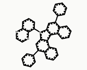 c1ccc(-c2cc3c(c4ccccc24)c2c4ccccc4c(-c4ccccc4)cc2n3-c2cccc3nccnc23)cc1